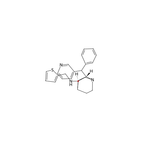 c1ccc(C(c2cccnc2)[C@H]2[C@H](NCc3cccs3)C3CCN2CC3)cc1